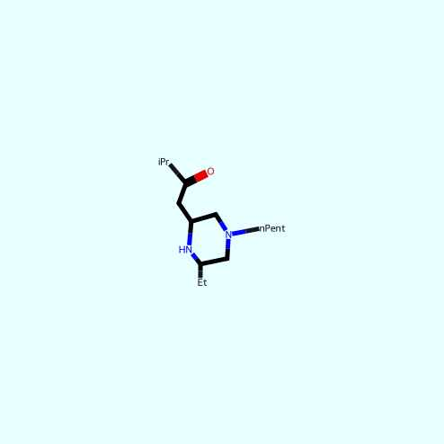 CCCCCN1CC(CC)NC(CC(=O)C(C)C)C1